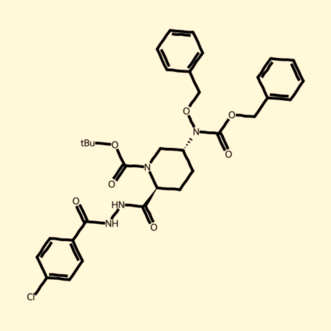 CC(C)(C)OC(=O)N1C[C@H](N(OCc2ccccc2)C(=O)OCc2ccccc2)CC[C@H]1C(=O)NNC(=O)c1ccc(Cl)cc1